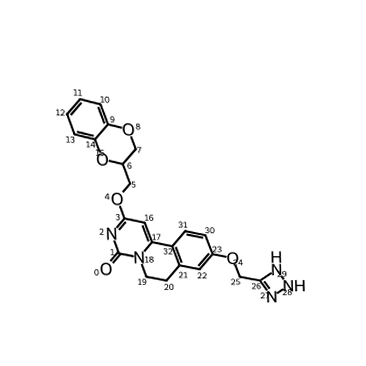 O=c1nc(OCC2COc3ccccc3O2)cc2n1CCc1cc(OCc3n[nH][nH]3)ccc1-2